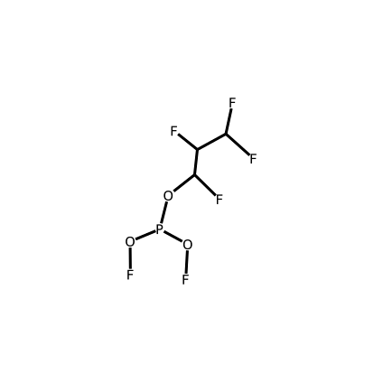 FOP(OF)OC(F)C(F)C(F)F